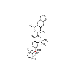 CC1(C)CN(C[C@@H](O)[C@@H]2Cc3ccccc3CN2C(=O)O)C(=O)c2ccc(C(=O)N3[C@@H]4CC[C@H]3C[C@H](O)C4)cc21